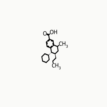 CCC[C@@H]1CC(C)c2cc(C(=O)O)ccc2[C@H]1C1CCCCC1